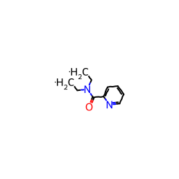 [CH2]CN(C[CH2])C(=O)c1ccccn1